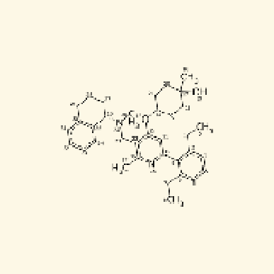 CCc1cccc(CC)c1-c1cc(OC2CCC(C)(O)CC2)c(CN(C)[C@H]2CCCc3ccccc32)c(C)n1